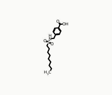 CCCCCCCCCS(=O)(=O)NCc1ccc(C(=O)O)cc1